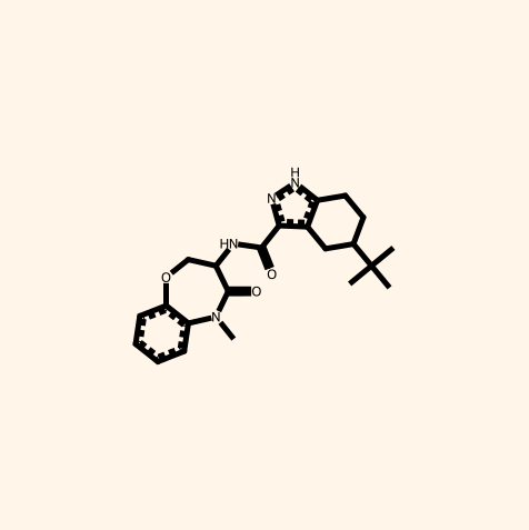 CN1C(=O)C(NC(=O)c2n[nH]c3c2CC(C(C)(C)C)CC3)COc2ccccc21